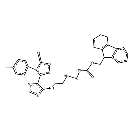 O=C(NSNCCNc1nonc1-c1noc(=O)n1-c1ccc(F)cc1)OCC1C2=C(CCC=C2)c2ccccc21